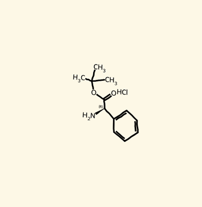 CC(C)(C)OC(=O)[C@H](N)c1ccccc1.Cl